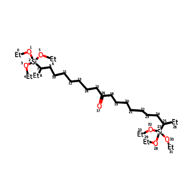 CCO[Si](OCC)(OCC)C(CC)CCCCCCCC(=O)CCCCCCCC(CC)[Si](OCC)(OCC)OCC